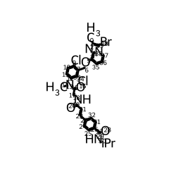 Cc1nc2c(OCc3c(Cl)ccc(N(C)C(=O)CNC(=O)C=Cc4ccc(C(=O)NC(C)C)cc4)c3Cl)cccn2c1Br